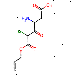 C=CCOC(=O)C(Br)C(=O)C(N)CC(=O)O